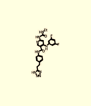 CCNC(=O)Nc1cc(Nc2cc(F)cc(F)c2)c(C(=O)Nc2ccc(CCc3nnn[nH]3)cc2)cn1